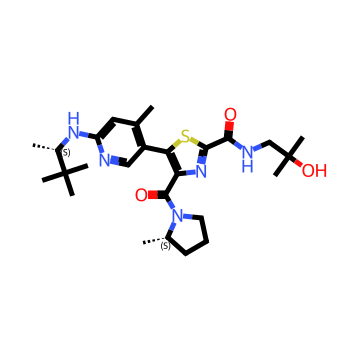 Cc1cc(N[C@@H](C)C(C)(C)C)ncc1-c1sc(C(=O)NCC(C)(C)O)nc1C(=O)N1CCC[C@@H]1C